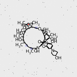 CO[C@H]1/C=C/O[C@@]2(C)Oc3c(C)c(O)c4c(=O)c(c5oc6cc(N7CCC(O)CC7)cc(O)c6nc-5c4c3C2=O)NC(=O)/C(C)=C\C=C\[C@H](C)[C@H](O)[C@@H](C)C(O)[C@@H](C)[C@H](OC(C)=O)[C@@H]1C